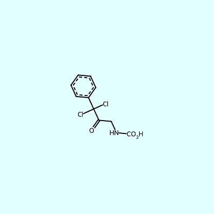 O=C(O)NCC(=O)C(Cl)(Cl)c1ccccc1